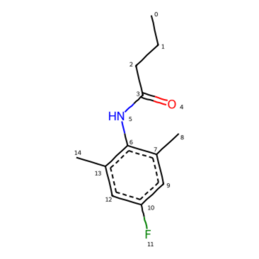 CCCC(=O)Nc1c(C)cc(F)cc1C